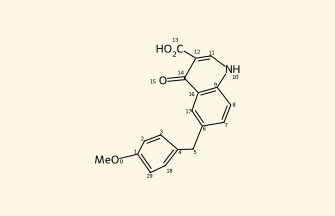 COc1ccc(Cc2ccc3[nH]cc(C(=O)O)c(=O)c3c2)cc1